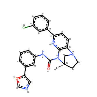 O=C(Nc1cccc(-c2cnco2)c1)N1c2nc(-c3cccc(Cl)c3)ccc2N2CC[C@@H]1C2